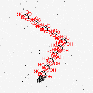 O=C(O)CC(O)(CC(=O)O)C(=O)O.O=C(O)CC(O)(CC(=O)O)C(=O)O.O=C(O)CC(O)(CC(=O)O)C(=O)O.O=C(O)CC(O)(CC(=O)O)C(=O)O.O=C(O)CC(O)(CC(=O)O)C(=O)O.O=C(O)CC(O)(CC(=O)O)C(=O)[O-].O=C(O)CC(O)(CC(=O)O)C(=O)[O-].O=C(O)CC(O)(CC(=O)O)C(=O)[O-].O=C(O)CC(O)(CC(=O)O)C(=O)[O-].O=C(O)CC(O)(CC(=O)O)C(=O)[O-].[Na+].[Na+].[Na+].[Na+].[Na+]